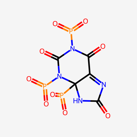 O=C1N=C2C(=O)N(P(=O)=O)C(=O)N(P(=O)=O)C2(P(=O)=O)N1